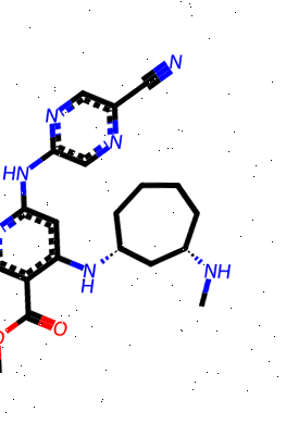 CN[C@H]1CCCC[C@@H](Nc2cc(Nc3cnc(C#N)cn3)ncc2C(=O)OC)C1